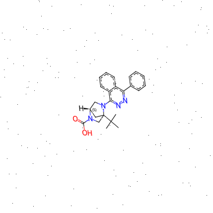 CC(C)(C)C12C[C@@H](CN1c1nnc(-c3ccccc3)c3ccccc13)N(C(=O)O)C2